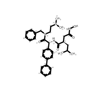 CC(C)C[C@H](CC(=O)NO)C(=O)N[C@@H](C(=O)N(CCN(C)C)Cc1ccccc1)c1ccc(-c2ccccc2)cc1